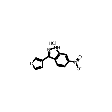 Cl.O=[N+]([O-])c1ccc2c(-c3ccoc3)n[nH]c2c1